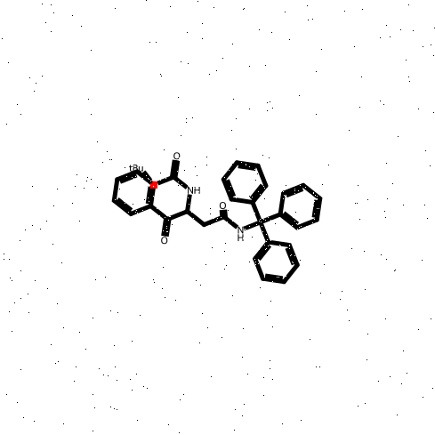 CC(C)(C)OC(=O)NC(CC(=O)NC(c1ccccc1)(c1ccccc1)c1ccccc1)C(=O)c1ccccc1